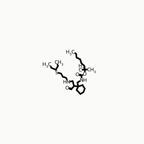 CCCCCCC(C)(C)OC(=O)NCC1(C(C=O)CNCCCSC(CC)CC)CCCCC1